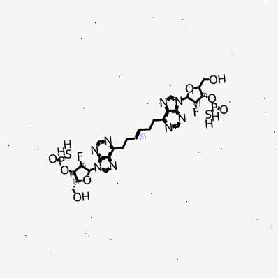 O=[PH](S)O[C@@H]1[C@@H](CO)OC(n2cnc3c(CC/C=C/CCc4ncnc5c4ncn5C4OC(CO)[C@@H](O[PH](=O)S)[C@H]4F)ncnc32)[C@@H]1F